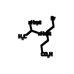 CCCCCCCC(C)CCCCCCC.O=C(O)CCCCBr